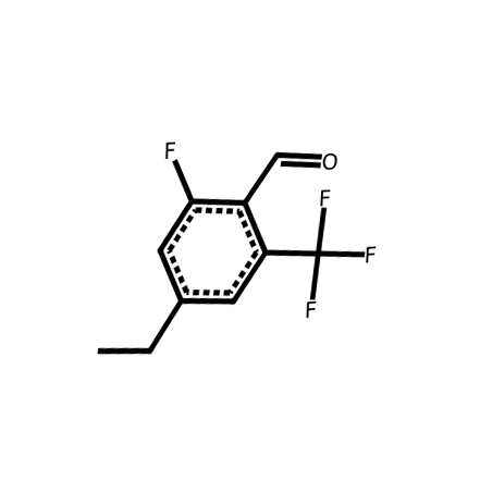 CCc1cc(F)c(C=O)c(C(F)(F)F)c1